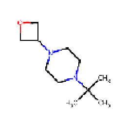 CC(C)(C)N1CCN(C2COC2)CC1